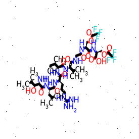 CC[C@H](C)[C@H](NC(=O)[C@@H](CCCNC(=N)N)NC(=O)[C@H](CC(C)C)NC(=O)[C@@H](N)[C@H](O)C(C)C)C(=O)N[C@H](C(=O)NCC(=O)N[C@@H](COC(=O)C(F)(F)F)C(=O)N[C@@H](COC(=O)C(F)(F)F)C(=O)O)C(C)C